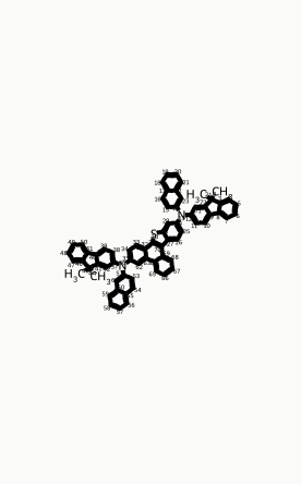 CC1(C)c2ccccc2-c2ccc(N(c3ccc4ccccc4c3)c3ccc4c(c3)sc3c5ccc(N(c6ccc7c(c6)C(C)(C)c6ccccc6-7)c6ccc7ccccc7c6)cc5c5ccccc5c43)cc21